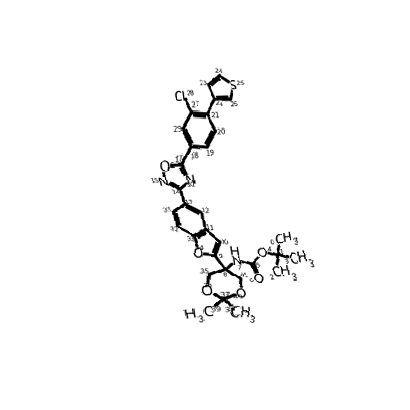 CC(C)(C)OC(=O)NC1(c2cc3cc(-c4noc(-c5ccc(-c6ccsc6)c(Cl)c5)n4)ccc3o2)COC(C)(C)OC1